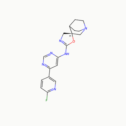 Fc1ccc(-c2cc(NC3=NC[C@@]4(CN5CCC4CC5)O3)ncn2)cn1